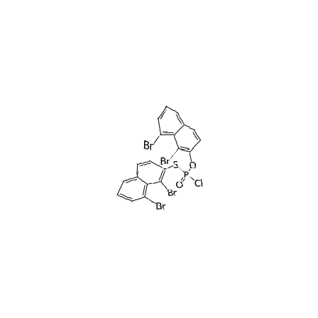 O=P(Cl)(Oc1ccc2cccc(Br)c2c1Br)Sc1ccc2cccc(Br)c2c1Br